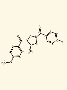 COc1ccc(C(=O)[C@@H]2CN(C(=O)c3ccc(F)cc3)C[C@H]2C)cc1